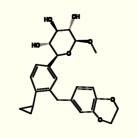 CO[C@H]1O[C@@H](c2ccc(C3CC3)c(Cc3ccc4c(c3)OCCO4)c2)[C@H](O)[C@@H](O)[C@@H]1O